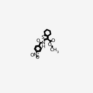 CCOC(=O)c1c(NC(=O)c2ccc([N+](=O)[O-])cc2)sc2c1CCCC2